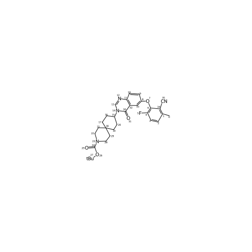 Cc1ccc(F)c(Oc2ccc3ncn(C4CCC5(CC4)CCN(C(=O)OC(C)(C)C)CC5)c(=O)c3c2)c1C#N